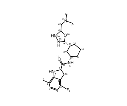 Cc1ccc(F)c2c1NC(C(=O)N[C@H]1CCC[C@@H](C3NNC(CN(C)C)O3)C1)C2